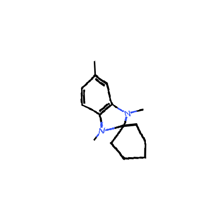 Cc1ccc2c(c1)N(C)C1(CCCCC1)N2C